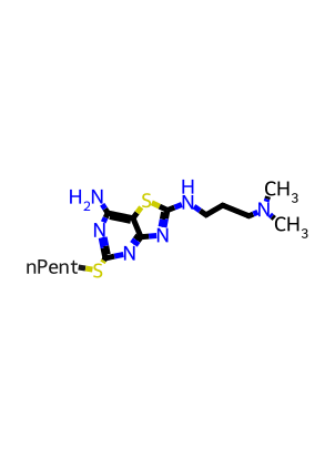 CCCCCSc1nc(N)c2sc(NCCCN(C)C)nc2n1